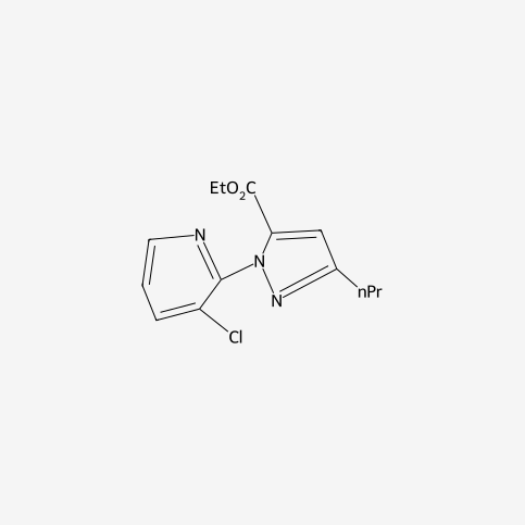 CCCc1cc(C(=O)OCC)n(-c2ncccc2Cl)n1